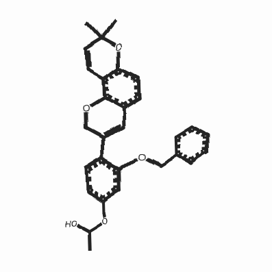 CC(O)Oc1ccc(C2=Cc3ccc4c(c3OC2)C=CC(C)(C)O4)c(OCc2ccccc2)c1